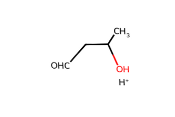 CC(O)CC=O.[H+]